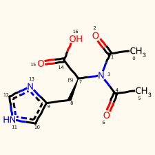 CC(=O)N(C(C)=O)[C@@H](Cc1c[nH]cn1)C(=O)O